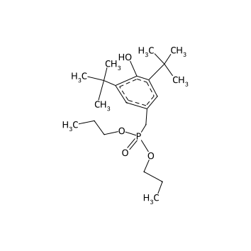 CCCOP(=O)(Cc1cc(C(C)(C)C)c(O)c(C(C)(C)C)c1)OCCC